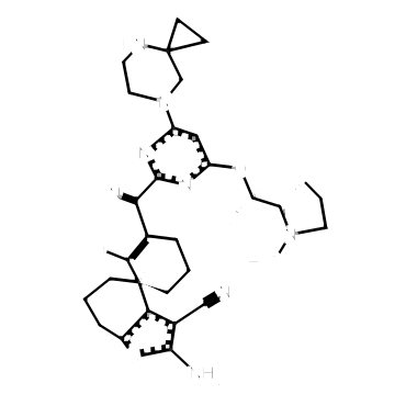 C[C@H](Oc1cc(N2CCNC3(CC3)C2)nc(C(=N)C2=C(O)[C@@]3(CCC2)CCCc2sc(N)c(C#N)c23)n1)[C@@H]1CCCN1C